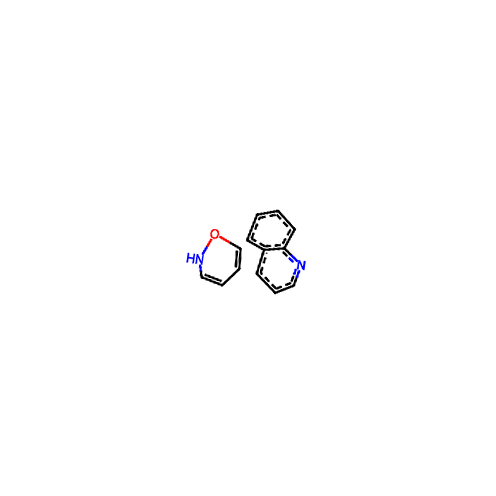 C1=CNOC=C1.c1ccc2ncccc2c1